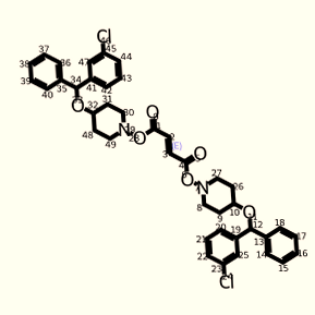 O=C(/C=C/C(=O)ON1CCC(OC(c2ccccc2)c2cccc(Cl)c2)CC1)ON1CCC(OC(c2ccccc2)c2cccc(Cl)c2)CC1